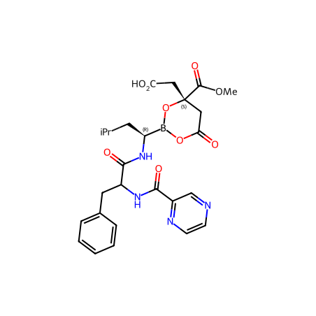 COC(=O)[C@]1(CC(=O)O)CC(=O)OB([C@H](CC(C)C)NC(=O)C(Cc2ccccc2)NC(=O)c2cnccn2)O1